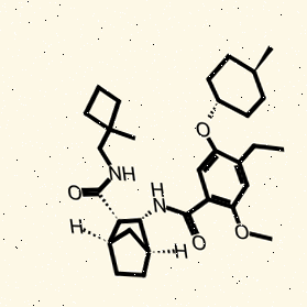 CCc1cc(OC)c(C(=O)N[C@@H]2[C@H]3CC[C@H](C3)[C@@H]2C(=O)NCC2(C)CCC2)cc1O[C@H]1CC[C@H](C)CC1